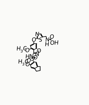 COc1cc2c(cc1S(=O)(=O)Nc1noc3cc(Oc4ncc(CNC(=O)O)s4)cc(OC)c13)CCC2